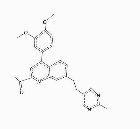 COc1ccc(-c2cc(C(C)=O)nc3cc(CCc4cnc(C)nc4)ccc23)cc1OC